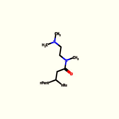 CCCCCC(CCCC)CC(=O)N(C)CCN(C)C